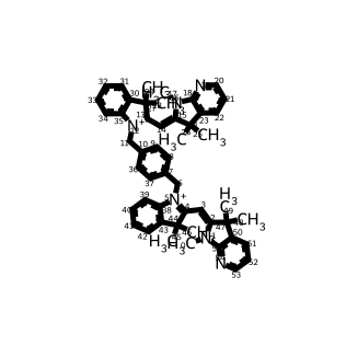 CN1C(=CC2=[N+](Cc3ccc(C[N+]4=C(C=C5N(C)c6ncccc6C5(C)C)C(C)(C)c5ccccc54)cc3)c3ccccc3C2(C)C)C(C)(C)c2cccnc21